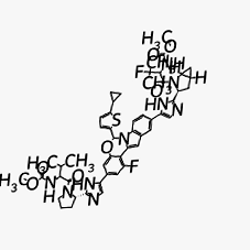 COC(=O)NC(C(=O)N1[C@@H]2C[C@@H]2C[C@H]1c1ncc(-c2ccc3c(c2)cc2n3C(c3ccc(C4CC4)s3)Oc3cc(-c4cnc([C@@H]5CCCN5C(=O)[C@@H](NC(=O)OC)C(C)C)[nH]4)cc(F)c3-2)[nH]1)C(C)(C)F